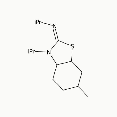 CC1CCC2C(C1)S/C(=N/C(C)C)N2C(C)C